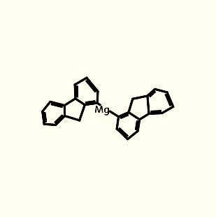 c1ccc2c(c1)Cc1[c]([Mg][c]3cccc4c3Cc3ccccc3-4)cccc1-2